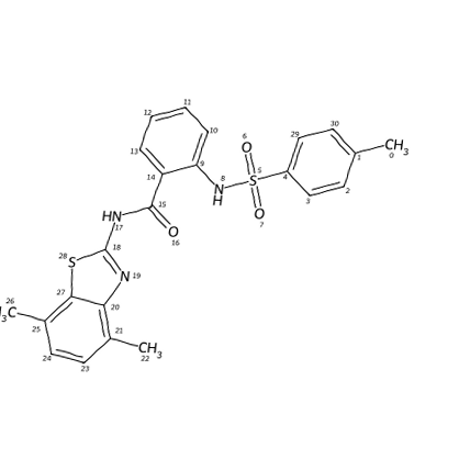 Cc1ccc(S(=O)(=O)Nc2ccccc2C(=O)Nc2nc3c(C)ccc(C)c3s2)cc1